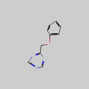 [c]1ccc(OCc2ncncn2)cc1